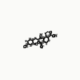 CCc1c(C(=O)O)ccc([N+](=O)[O-])c1NCCc1ccc(Cl)cc1Cl